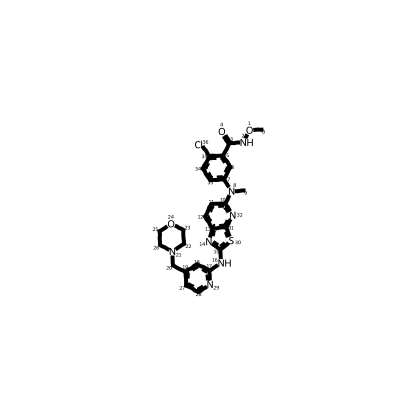 CONC(=O)c1cc(N(C)c2ccc3nc(Nc4cc(CN5CCOCC5)ccn4)sc3n2)ccc1Cl